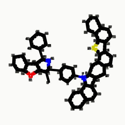 Cc1c(-c2ccc(-n3c4cc5c(ccc6c7ccc8ccccc8c7sc56)cc4c4ccc5ccccc5c43)cc2)nc(-c2ccccc2)c2c1oc1ccccc12